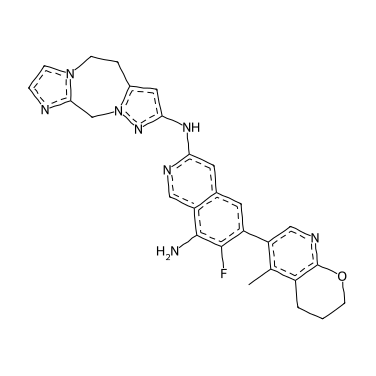 Cc1c(-c2cc3cc(Nc4cc5n(n4)Cc4nccn4CC5)ncc3c(N)c2F)cnc2c1CCCO2